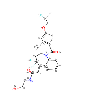 C[C@@H](F)COc1ccc(C(=O)N2CCC(F)(F)C(=CC(=O)NCCO)c3ccccc32)c(C(F)(F)F)c1